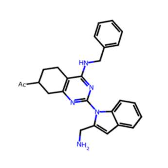 CC(=O)C1CCc2c(nc(-n3c(CN)cc4ccccc43)nc2NCc2ccccc2)C1